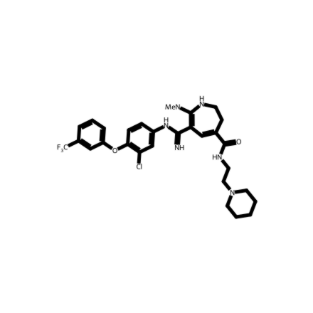 CNC1=C(C(=N)Nc2ccc(Oc3cccc(C(F)(F)F)c3)c(Cl)c2)C=C(C(=O)NCCN2CCCCC2)CCN1